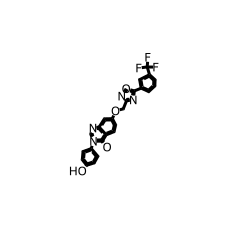 O=c1c2ccc(OCc3noc(-c4cccc(C(F)(F)F)c4)n3)cc2ncn1-c1ccc(O)cc1